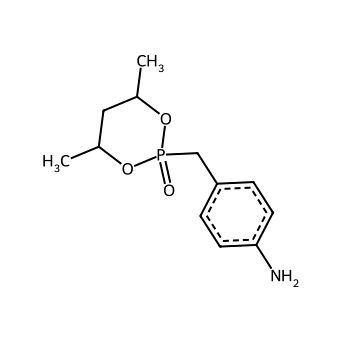 CC1CC(C)OP(=O)(Cc2ccc(N)cc2)O1